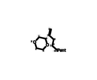 C1COCCO1.C=CCCC(C)CCC